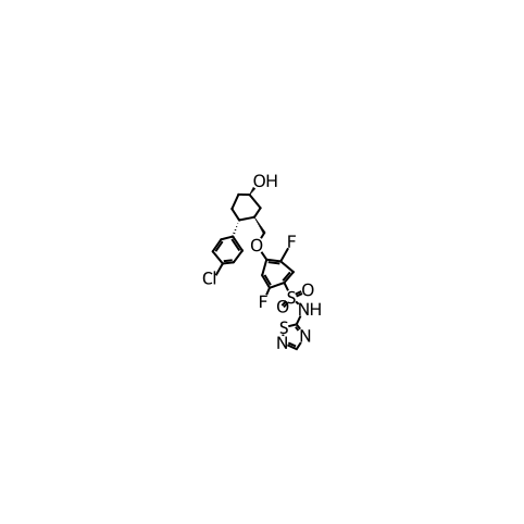 O=S(=O)(Nc1ncns1)c1cc(F)c(OC[C@@H]2C[C@H](O)CC[C@H]2c2ccc(Cl)cc2)cc1F